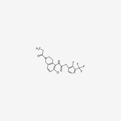 CCC(=O)N1CCc2c(ccc(Cl)c2NC(=O)Cc2cccc(C(F)(F)F)c2F)C1